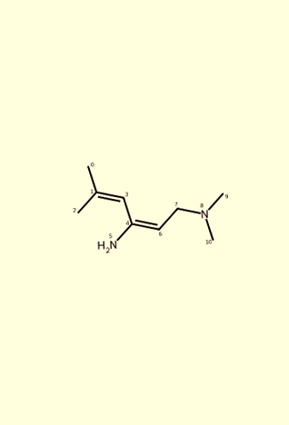 CC(C)=C/C(N)=C\CN(C)C